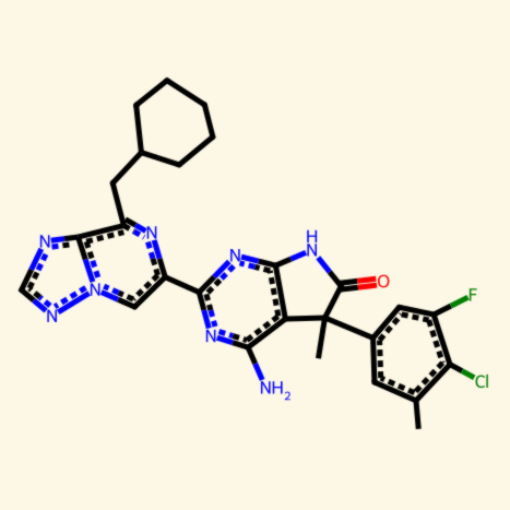 Cc1cc(C2(C)C(=O)Nc3nc(-c4cn5ncnc5c(CC5CCCCC5)n4)nc(N)c32)cc(F)c1Cl